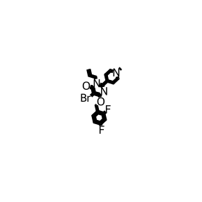 C=CCn1c(C2CCN(C)CC2)nc(OCc2ccc(F)cc2F)c(Br)c1=O